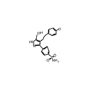 NS(=O)(=O)c1ccc(-c2n[nH]c(CO)c2CCc2ccc(Cl)cc2)cc1